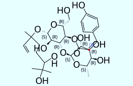 C=CC(C)(CCC(O)C(C)(C)O)O[C@@H]1O[C@H](CO)[C@@H](OC(=O)/C=C\c2ccc(O)cc2)[C@H](O[C@@H]2O[C@@H](C)[C@H](O)[C@@H](O)[C@H]2O)[C@H]1O